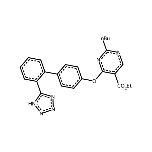 CCCCc1ncc(C(=O)OCC)c(Oc2ccc(-c3ccccc3-c3nnn[nH]3)cc2)n1